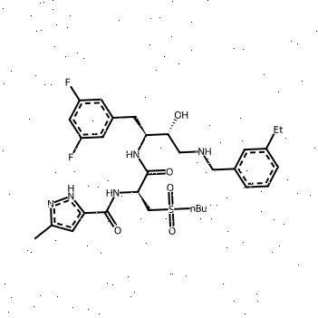 CCCCS(=O)(=O)C[C@@H](NC(=O)c1cc(C)n[nH]1)C(=O)N[C@@H](Cc1cc(F)cc(F)c1)[C@H](O)CNCc1cccc(CC)c1